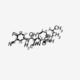 CC(C)C[C@H]1C=Cc2c(nn(C)c2C(O)Nc2ccc(F)c(C#N)c2)S(=N)(=O)N1